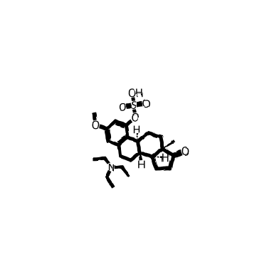 CCN(CC)CC.COc1cc2c(c(OS(=O)(=O)O)c1)[C@H]1CC[C@]3(C)C(=O)CC[C@H]3[C@@H]1CC2